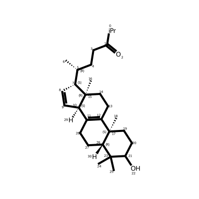 CC(C)C(=O)CC[C@@H](C)[C@H]1C=C[C@@H]2C3=C(CC[C@@]21C)[C@@]1(C)CCC(O)C(C)(C)[C@@H]1CC3